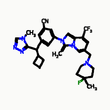 C=C1N2C=C(CN3CCC(C)(F)CC3)C=C(C(F)(F)F)C2=CN1c1cc(C#N)cc(C(c2nncn2C)C2CCC2)c1